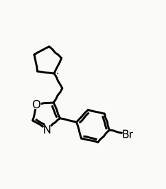 Brc1ccc(-c2ncoc2C[C]2CCCC2)cc1